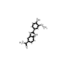 COc1cc(-c2nc3cc(C(C)=O)ccc3[nH]2)ccc1O